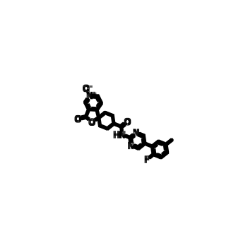 Cc1ccc(F)c(-c2cnc(NC(=O)C3CCC4(CC3)OC(=O)c3c[n+]([O-])ccc34)nc2)c1